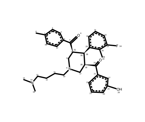 Cc1ccc(C(=O)[C@@H]2CN(CCCCN(C)C)C[C@H](C(=O)c3cccc(O)c3)[C@@H]2c2cccc(F)c2C)cc1